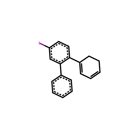 Ic1ccc(C2=CC=CCC2)c(-c2ccccc2)c1